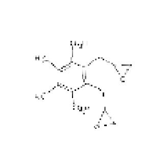 Cc1c(C)c(C(=O)O)c(CC2CO2)c(CC2CO2)c1C(=O)O